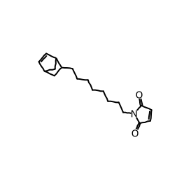 O=C1C=CC(=O)N1CCCCCCCCC1CC2C=CC1C2